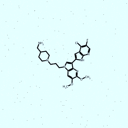 COc1cc2c(nc1OC)c(-c1cc3c(Cl)c(F)cnc3[nH]1)cn2CCCN1CCC(CN)CC1